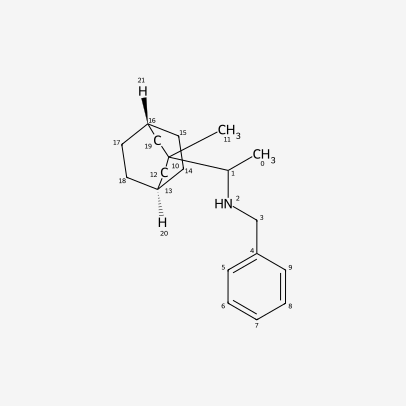 CC(NCc1ccccc1)C1(C)C[C@H]2CC[C@@H](CC2)C1